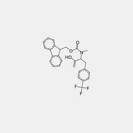 C=C(O)C(Cc1ccc(C(F)(F)F)cc1)N(C)C(=O)OCC1c2ccccc2-c2ccccc21